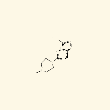 CN1CCN(c2ccc3nnc(C(F)(F)F)n3n2)CC1